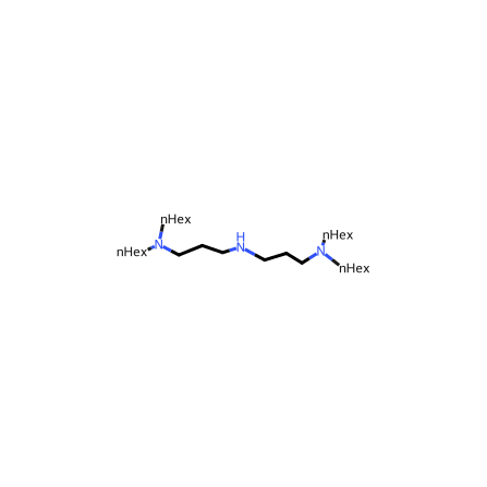 CCCCCCN(CCCCCC)CCCNCCCN(CCCCCC)CCCCCC